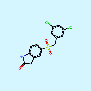 O=C1Cc2cc(S(=O)(=O)Cc3cc(Cl)cc(Cl)c3)ccc2N1